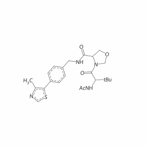 CC(=O)NC(C(=O)N1COCC1C(=O)NCc1ccc(-c2scnc2C)cc1)C(C)(C)C